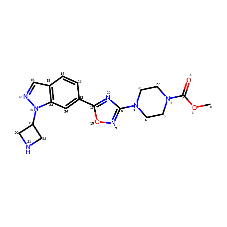 COC(=O)N1CCN(c2noc(-c3ccc4cnn(C5CNC5)c4c3)n2)CC1